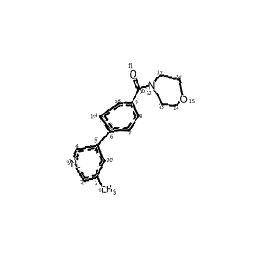 Cc1cncc(-c2ccc(C(=O)N3CCOCC3)cc2)c1